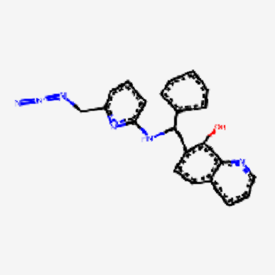 [N-]=[N+]=NCc1cccc(NC(c2ccccc2)c2ccc3cccnc3c2O)n1